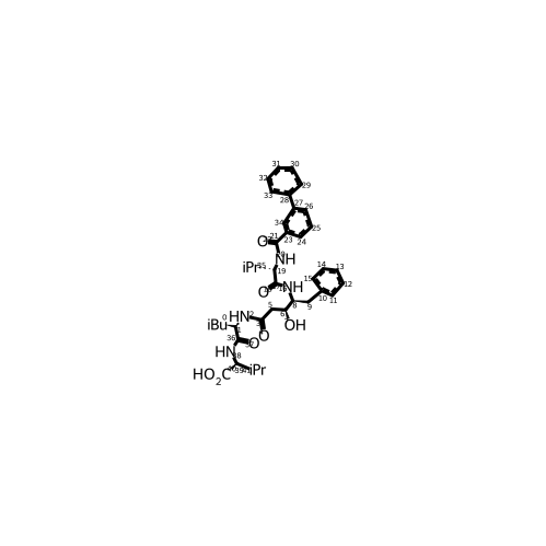 CC[C@H](C)[C@H](NC(=O)C[C@H](O)[C@H](Cc1ccccc1)NC(=O)[C@@H](NC(=O)c1cccc(-c2ccccc2)c1)C(C)C)C(=O)N[C@H](C(=O)O)C(C)C